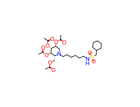 CC(=O)OC[C@@H]1[C@@H](OC(C)=O)[C@H](OC(C)=O)[C@@H](OC(C)=O)CN1CCCCCCNS(=O)(=O)CC1CCCCC1